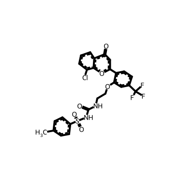 Cc1ccc(S(=O)(=O)NC(=O)NCCOc2cc(C(F)(F)F)ccc2-c2cc(=O)c3cccc(Cl)c3o2)cc1